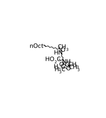 CCCCCCCCC=CCCCCCCC(C)C(=O)NCCCC(CC(=O)O)NC(=O)C1OC(C)(C)OCC1(C)C